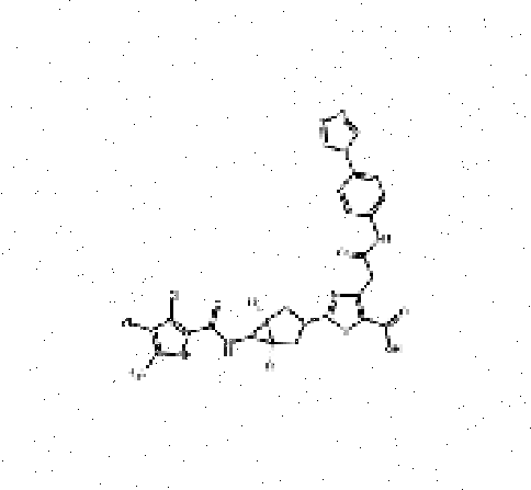 Cc1[nH]c(C(=O)NC2[C@H]3CN(c4nc(CC(=O)Nc5ccc(-n6cnnc6)cc5)c(C(=O)O)s4)C[C@@H]23)c(Cl)c1Cl